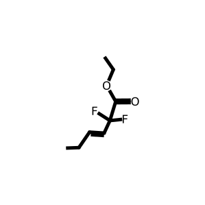 CC/C=C/C(F)(F)C(=O)OCC